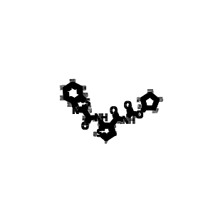 O=C(NC(=O)c1ccsc1NC(=O)c1nc2ccccc2s1)OC1CCCC1